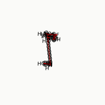 CC[C@@]1(O)C(=O)OCc2c1cc1n(c2=O)Cc2c-1nc1cc(F)c(C)c3c1c2[C@@H](NC(=O)OCc1ccc(NC(=O)[C@H](CCCNC(N)=O)NC(=O)[C@@H](NC(=O)[C@H](CCCCNC(=O)CCOCCOCCOCCOCCOCCOCCOCCOCCOCCOCCOCCOCCn2nncc2CCC(=O)NC[C@H](O)[C@@H](O)[C@H](O)[C@H](O)CO)NC(=O)OC(C)(C)C)C(C)C)cc1)CC3